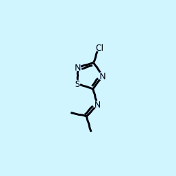 CC(C)=Nc1nc(Cl)ns1